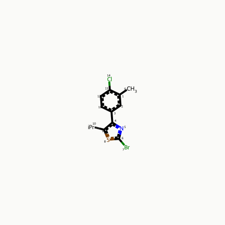 Cc1cc(-c2nc(Br)sc2C(C)C)ccc1Cl